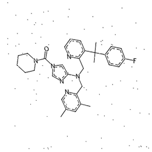 Cc1cnc(CN(Cc2ncccc2C(C)(C)c2ccc(F)cc2)c2cn(C(=O)N3CCCCC3)cn2)c(C)c1